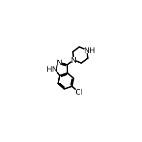 Clc1ccc2[nH]nc(N3CCNCC3)c2c1